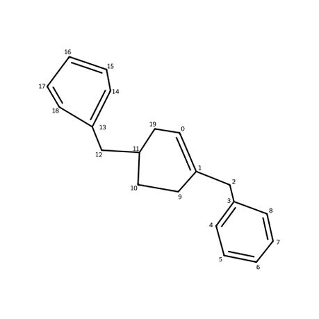 C1=C(Cc2ccccc2)CCC(Cc2ccccc2)C1